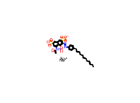 CCCCCCCCCCCCc1ccc(N=Nc2c(S(=O)(=O)[O-])cc3cc(S(=O)(=O)[O-])cc(NC(C)=O)c3c2O)cc1.[Na+].[Na+]